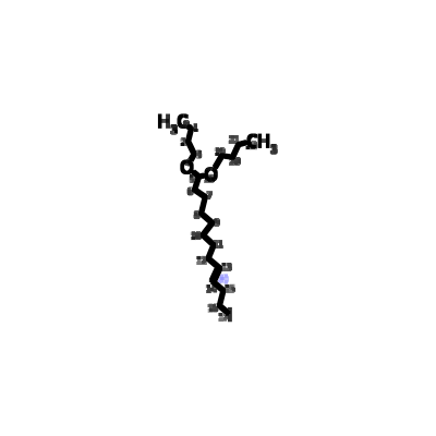 CCCCOC(CCCCCCC/C=C/CCI)OCCCC